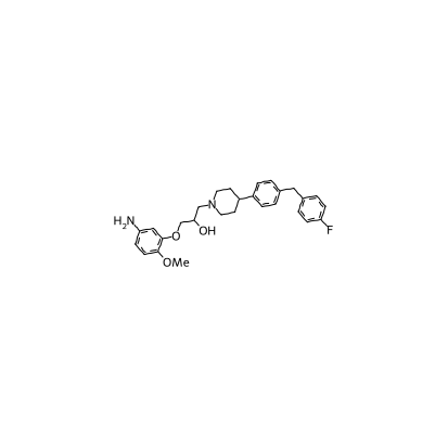 COc1ccc(N)cc1OCC(O)CN1CCC(c2ccc(Cc3ccc(F)cc3)cc2)CC1